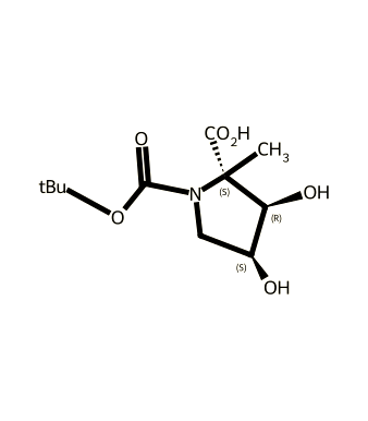 CC(C)(C)OC(=O)N1C[C@H](O)[C@H](O)[C@@]1(C)C(=O)O